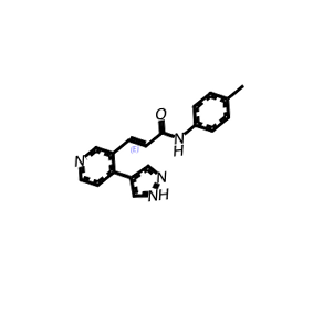 Cc1ccc(NC(=O)/C=C/c2cnccc2-c2cn[nH]c2)cc1